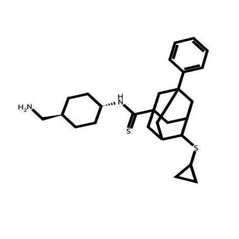 NC[C@H]1CC[C@H](NC(=S)C23CC4CC(c5ccccc5)(CC(C2)C4SC2CC2)C3)CC1